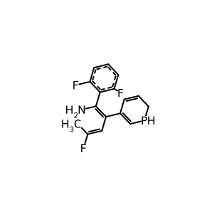 C/C(F)=C\C(C1=CPCC=C1)=C(/N)c1c(F)cccc1F